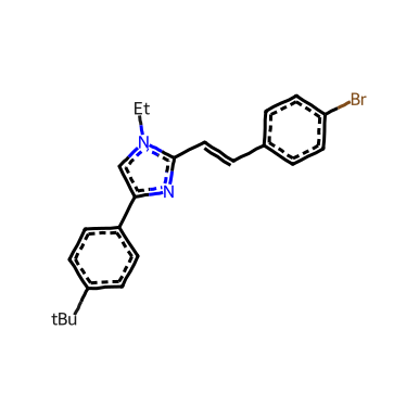 CCn1cc(-c2ccc(C(C)(C)C)cc2)nc1C=Cc1ccc(Br)cc1